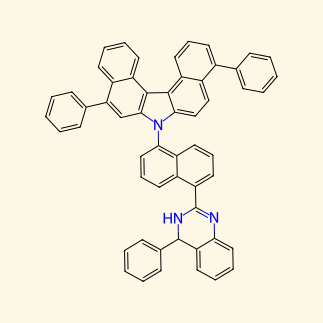 c1ccc(-c2cccc3c2ccc2c3c3c4ccccc4c(-c4ccccc4)cc3n2-c2cccc3c(C4=Nc5ccccc5C(c5ccccc5)N4)cccc23)cc1